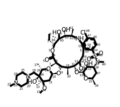 CC[C@H]1OC(=O)[C@H](C)[C@@H](O[C@H]2C[C@@](C)(OC)[C@](O)(CN3CCN(C)CC3)[C@H](C)O2)[C@H](C)[C@@H](O[C@@H]2O[C@H](C)C[C@H](N(C)S(=O)(=O)c3ccc(Cl)cc3)[C@H]2O)[C@](C)(O)C[C@@H](C)CN[C@H](C)[C@@H](O)[C@]1(C)O